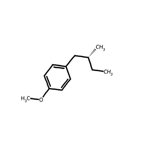 CC[C@@H](C)Cc1ccc(OC)cc1